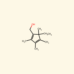 C.CC1=C(C)C(C)(C)C(CO)=C1C